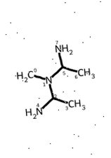 [CH2]N(C(C)N)C(C)N